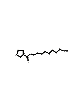 CCCCCCCCCCCCCCCCCCOC(=O)C1CCCC1